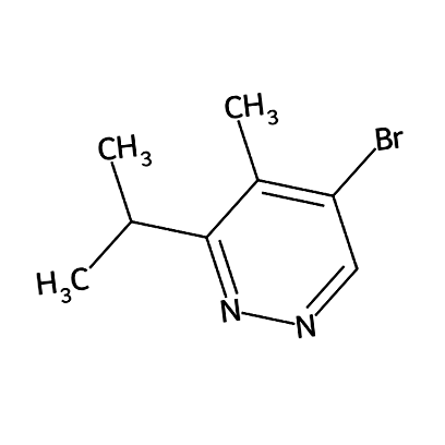 Cc1c(Br)cnnc1C(C)C